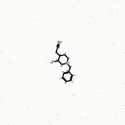 N#CCC1CCN(Cc2ccccc2)CC1F